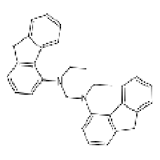 CCN(CN(CC)c1cccc2c1-c1ccccc1C2)c1cccc2c1-c1ccccc1C2